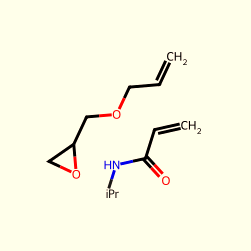 C=CC(=O)NC(C)C.C=CCOCC1CO1